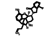 C=CCN1CC[C@]23c4c5ccc(O)c4O[C@H]2[C@H](N2Cc4c(F)cccc4C2=O)CC[C@@]3(O)[C@H]1C5